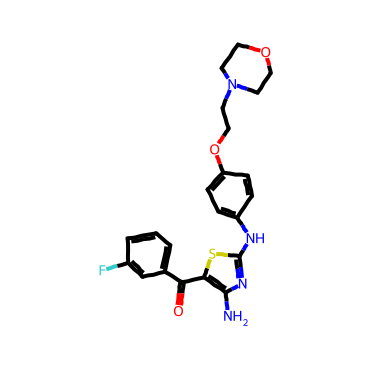 Nc1nc(Nc2ccc(OCCN3CCOCC3)cc2)sc1C(=O)c1cccc(F)c1